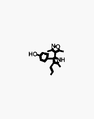 C/C=C/c1c(C)[nH]c(-c2c(C)noc2C)c1-c1ccc(O)cc1